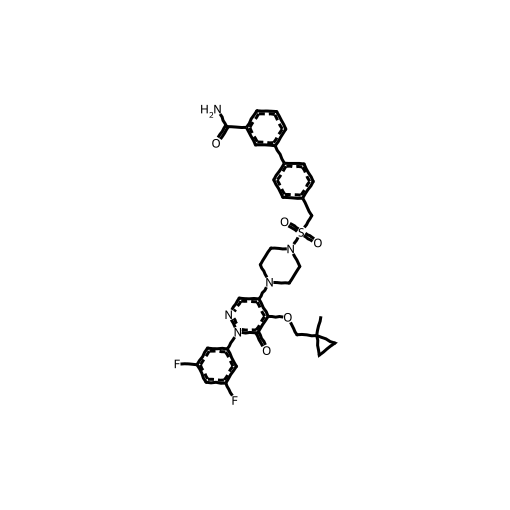 CC1(COc2c(N3CCN(S(=O)(=O)Cc4ccc(-c5cccc(C(N)=O)c5)cc4)CC3)cnn(-c3cc(F)cc(F)c3)c2=O)CC1